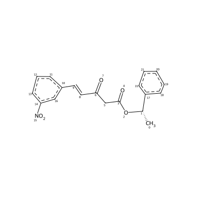 C[C@H](OC(=O)CC(=O)C=Cc1cccc([N+](=O)[O-])c1)c1ccccc1